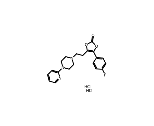 Cl.Cl.O=c1oc(CCN2CCN(c3ccccn3)CC2)c(-c2ccc(F)cc2)o1